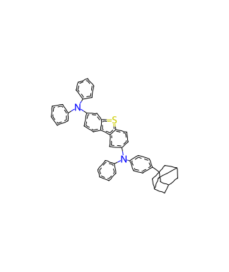 c1ccc(N(c2ccccc2)c2ccc3c(c2)sc2ccc(N(c4ccccc4)c4ccc(C56CC7CC(CC(C7)C5)C6)cc4)cc23)cc1